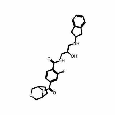 O=C(NCC(O)CNC1Cc2ccccc2C1)c1ccc(C(=O)N2C3CCC2COC3)cc1F